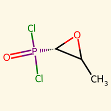 CC1O[C@H]1P(=O)(Cl)Cl